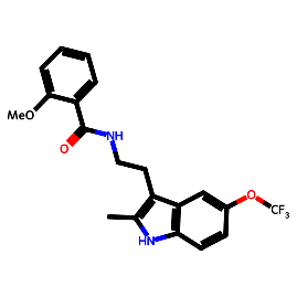 COc1ccccc1C(=O)NCCc1c(C)[nH]c2ccc(OC(F)(F)F)cc12